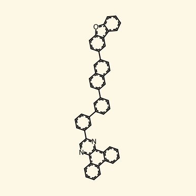 c1cc(-c2cccc(-c3cnc4c5ccccc5c5ccccc5c4n3)c2)cc(-c2ccc3cc(-c4ccc5oc6ccccc6c5c4)ccc3c2)c1